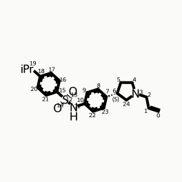 C=CCN1CC[C@@H](c2ccc(NS(=O)(=O)c3ccc(C(C)C)cc3)cc2)C1